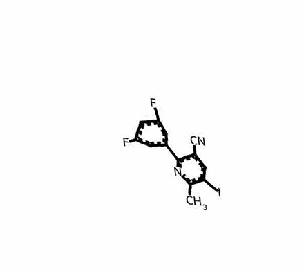 Cc1nc(-c2cc(F)cc(F)c2)c(C#N)cc1I